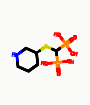 O=P(O)(O)C(S[C@H]1CCCNC1)P(=O)(O)O